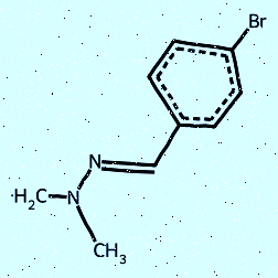 [CH2]N(C)/N=C/c1ccc(Br)cc1